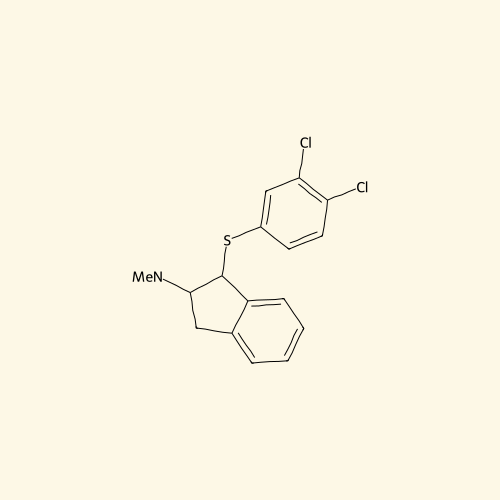 CNC1Cc2ccccc2C1Sc1ccc(Cl)c(Cl)c1